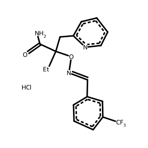 CCC(Cc1ccccn1)(ON=Cc1cccc(C(F)(F)F)c1)C(N)=O.Cl